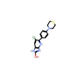 Oc1nc2nc(-c3ccc(N4CCSCC4)cc3)c(Cl)cc2[nH]1